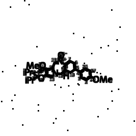 COc1ccc(C2=CC=C3[C@@H](C2)Cn2cc(O[Si](C(C)C)(C(C)C)C(C)C)c(OC)c2C=[N+]3[O-])cc1